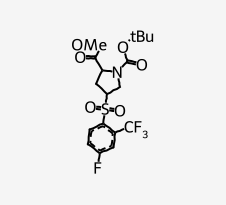 COC(=O)C1CC(S(=O)(=O)c2ccc(F)cc2C(F)(F)F)CN1C(=O)OC(C)(C)C